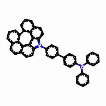 c1ccc(N(c2ccccc2)c2ccc(-c3ccc(-n4c5ccc6cccc7c6c5c5c6c(ccc8cccc-7c86)ccc54)cc3)cc2)cc1